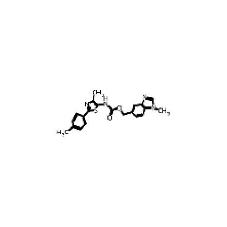 Cc1ccc(-c2nc(C)c(NC(=O)OCc3ccc4c(c3)ncn4C)s2)cc1